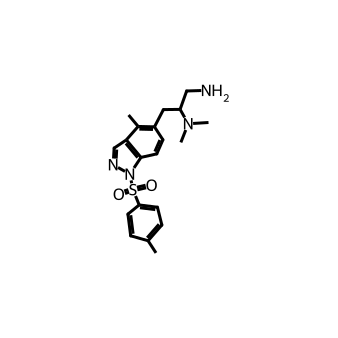 Cc1ccc(S(=O)(=O)n2ncc3c(C)c(CC(CN)N(C)C)ccc32)cc1